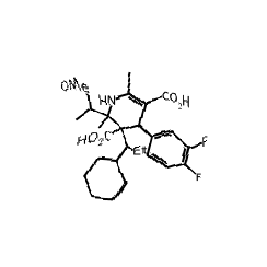 CCC(C1CCCCC1)C1(C(=O)O)C(c2ccc(F)c(F)c2)C(C(=O)O)=C(C)NC1(C)C(C)OC